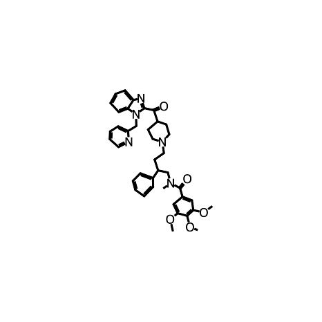 COc1cc(C(=O)N(C)CC(CCN2CCC(C(=O)c3nc4ccccc4n3Cc3ccccn3)CC2)c2ccccc2)cc(OC)c1OC